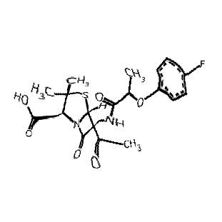 CC(=O)[C@]1(NC(=O)C(C)Oc2ccc(F)cc2)C(=O)N2[C@@H](C(=O)O)C(C)(C)S[C@@H]21